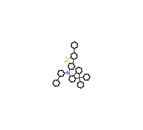 CS1(C)c2cc(-c3ccccc3)ccc2-c2ccc(N(c3cccc(-c4ccccc4)c3)c3cccc4c3-c3ccccc3C4(c3ccccc3)c3ccccc3)cc21